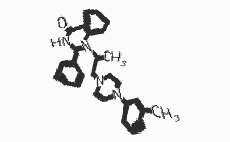 Cc1cccc(N2CCN(CC(C)N3c4ccccc4C(=O)NC3c3ccccc3)CC2)c1